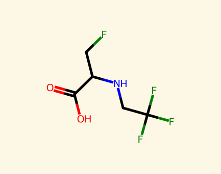 O=C(O)C(CF)NCC(F)(F)F